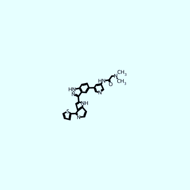 CN(C)CC(=O)Nc1cncc(-c2ccc3[nH]nc(-c4cc5c(-c6cccs6)nccc5[nH]4)c3c2)c1